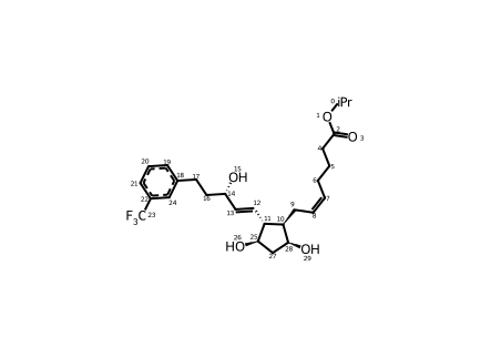 CC(C)OC(=O)CCC/C=C\C[C@@H]1[C@@H](/C=C/[C@@H](O)CCc2cccc(C(F)(F)F)c2)[C@H](O)C[C@@H]1O